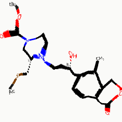 CC(=O)SC[C@@H]1CN(C(=O)OC(C)(C)C)CCN1C[C@H](O)c1ccc2c(c1C)COC2=O